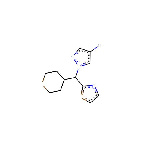 Nc1cnn(C(c2nccs2)C2CCSCC2)c1